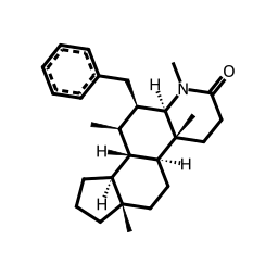 C[C@H]1[C@@H](Cc2ccccc2)[C@H]2N(C)C(=O)CC[C@]2(C)[C@H]2CC[C@]3(C)CCC[C@H]3[C@H]12